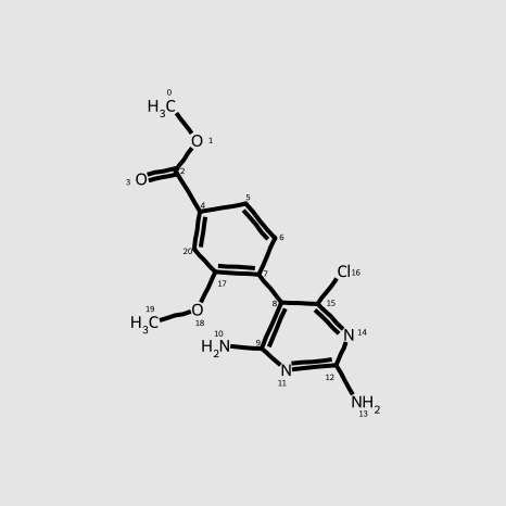 COC(=O)c1ccc(-c2c(N)nc(N)nc2Cl)c(OC)c1